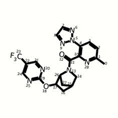 Cc1ccc(-n2nccn2)c(C(=O)N2CC3CC(Oc4ncc(C(F)(F)F)cn4)C2C3)n1